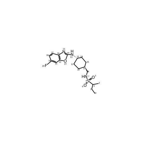 CCC(C)S(=O)(=O)NC[C@H]1CC[C@H](Nc2nc3ccc(F)cc3o2)CC1